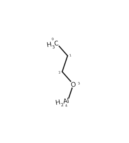 CCC[O][AlH2]